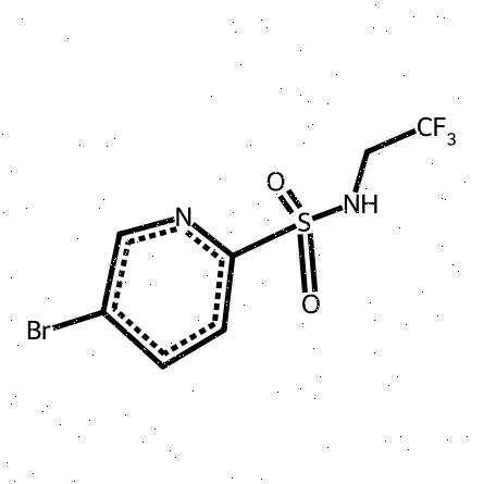 O=S(=O)(NCC(F)(F)F)c1ccc(Br)cn1